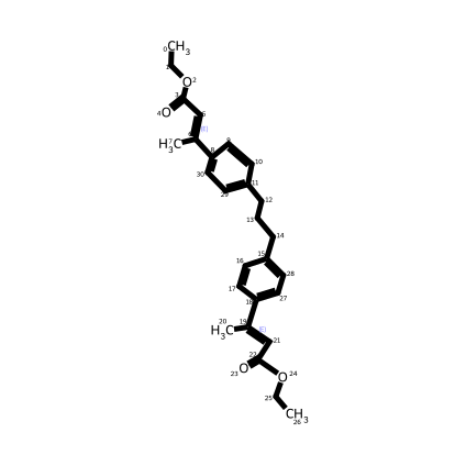 CCOC(=O)/C=C(\C)c1ccc(CCCc2ccc(/C(C)=C/C(=O)OCC)cc2)cc1